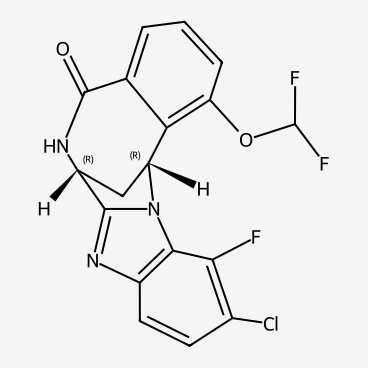 O=C1N[C@@H]2C[C@H](c3c(OC(F)F)cccc31)n1c2nc2ccc(Cl)c(F)c21